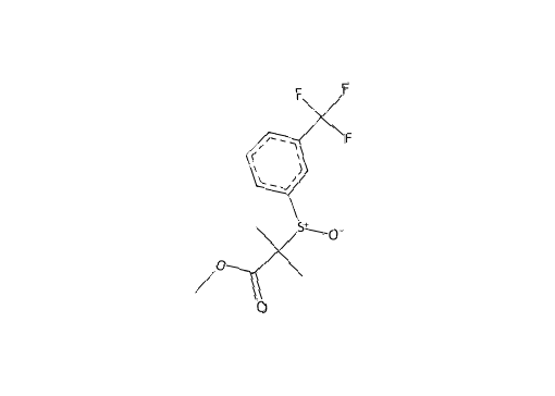 COC(=O)C(C)(C)[S+]([O-])c1cccc(C(F)(F)F)c1